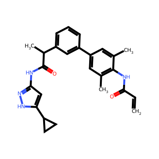 C=CC(=O)Nc1c(C)cc(-c2cccc(C(C)C(=O)Nc3cc(C4CC4)[nH]n3)c2)cc1C